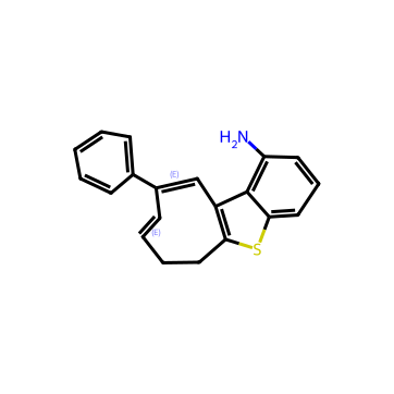 Nc1cccc2sc3c(c12)/C=C(c1ccccc1)\C=C\CC3